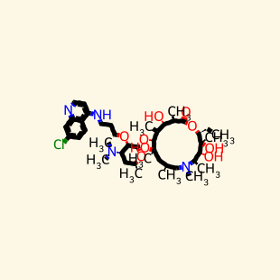 CC[C@H]1OC(=O)[C@H](C)[C@@H](O)C(C)[C@@H](O[C@@H]2O[C@H](C)C[C@H](N(C)C)[C@H]2OCCCNc2ccnc3cc(Cl)ccc23)[C@](C)(O)C[C@@H](C)CN(C)[C@H](C)[C@@H](O)[C@]1(C)O